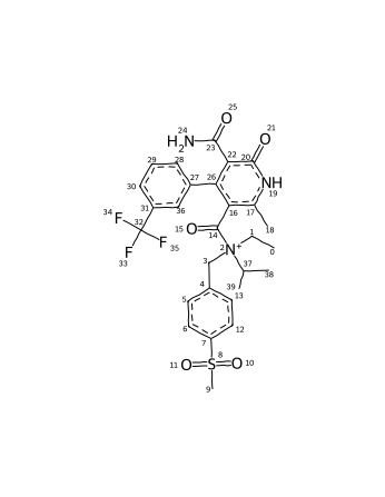 CC[N+](Cc1ccc(S(C)(=O)=O)cc1)(C(=O)c1c(C)[nH]c(=O)c(C(N)=O)c1-c1cccc(C(F)(F)F)c1)C(C)C